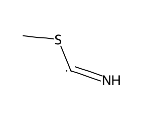 CS[C]=N